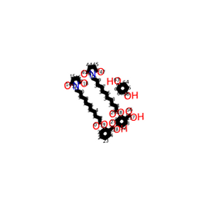 O=C(CCCCCCCCCCN1C(=O)C=CC1=O)Oc1ccccc1C(=O)O.O=C(CCCCCCCCCCN1C(=O)C=CC1=O)Oc1ccccc1C(=O)O.Oc1ccc(O)cc1